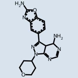 Nc1nc2cc(C3=NN(C4CCOCC4)C4=NC=NC(N)C34)ccc2o1